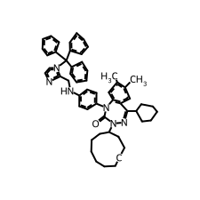 Cc1cc2c(cc1C)N(c1ccc(NCc3nccn3C(c3ccccc3)(c3ccccc3)c3ccccc3)cc1)C(=O)N(C1CCCCCCCCC1)N=C2C1CCCCC1